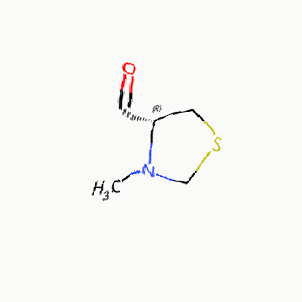 CN1CSC[C@H]1C=O